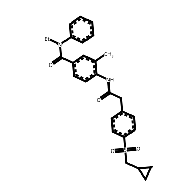 CCN(C(=O)c1ccc(NC(=O)Cc2ccc(S(=O)(=O)CC3CC3)cc2)c(C)c1)c1ccccc1